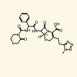 Cn1nnnc1SCC1=C(C(=O)O)N2C(=O)C(NC(=O)C(NC(=O)N3CCSCC3=O)c3ccccc3)[C@H]2SC1